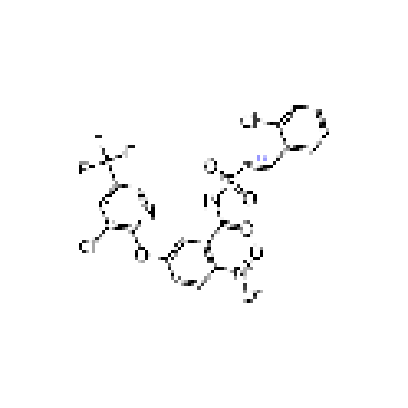 O=C(NS(=O)(=O)/C=C/c1ccccc1Cl)c1cc(Oc2ncc(C(F)(F)F)cc2Cl)ccc1[N+](=O)[O-]